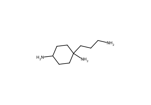 NCCCC1(N)CCC(N)CC1